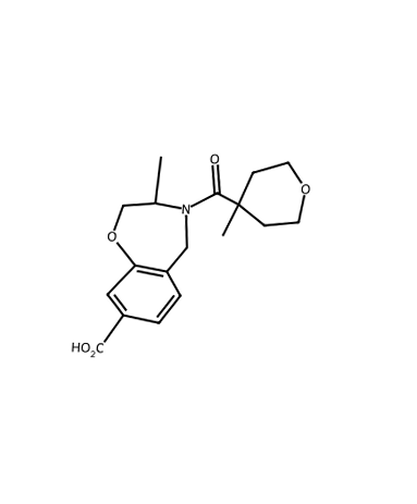 CC1COc2cc(C(=O)O)ccc2CN1C(=O)C1(C)CCOCC1